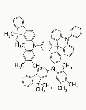 Cc1cc(C)c(N(c2ccc(C3(c4ccc(N(c5ccc6c(c5)C(C)(C)c5ccccc5-6)c5cc(C)c(C)cc5C)cc4)c4ccccc4N(c4ccccc4)c4ccccc43)cc2)c2ccc3c(c2)C(C)(C)c2ccccc2-3)cc1C